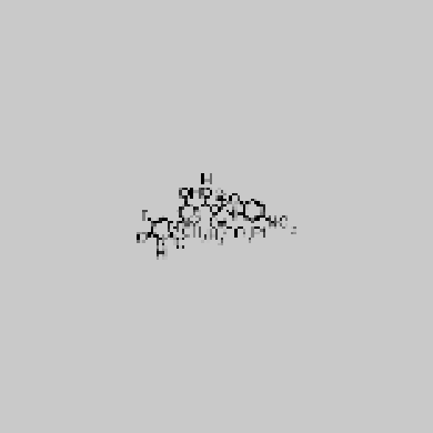 CCOC(=O)[C@H](C)NP(=O)(Oc1ccc([N+](=O)[O-])cc1)OC(O)[C@H]1O[C@@](C)(n2cc(F)c(=O)[nH]c2=O)CC1O